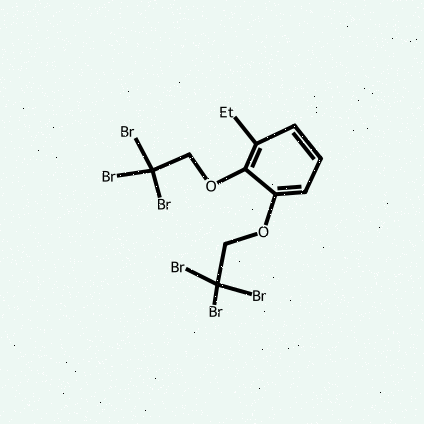 CCc1cccc(OCC(Br)(Br)Br)c1OCC(Br)(Br)Br